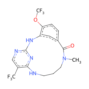 CN1CCCNc2nc(ncc2C(F)(F)F)Nc2cc(ccc2OC(F)(F)F)C1=O